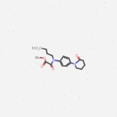 CCOC(=O)CCCN(C(=O)C(=O)OC(C)(C)C)c1ccc(N2CCCCC2=O)cc1